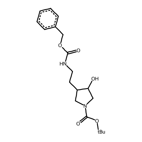 CC(C)(C)OC(=O)N1CC(O)C(CCNC(=O)OCc2ccccc2)C1